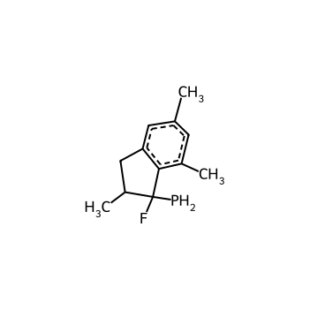 Cc1cc(C)c2c(c1)CC(C)C2(F)P